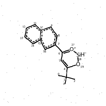 CC(C)(C)C1=CC(c2ccc3ccccc3c2)=[O+][SiH-]O1